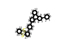 c1ccc(-c2ccc3c(c2)c2ccccc2c2ccc(-c4ccc(-c5cccc6c5Sc5ccccc5S6)cc4)cc23)cc1